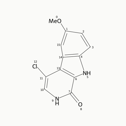 COc1ccc2[nH]c3c(=O)[nH]cc(Cl)c3c2c1